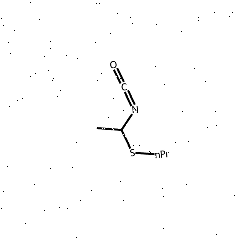 CCCSC(C)N=C=O